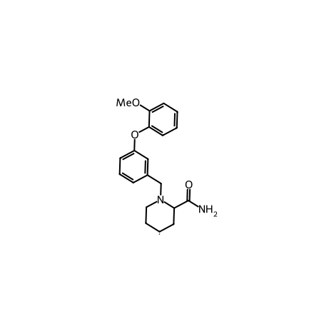 COc1ccccc1Oc1cccc(CN2CC[CH]CC2C(N)=O)c1